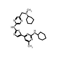 Cc1cc(-c2cnc(Nc3cnc(CN(C)C4CCCCC4)cn3)s2)nc(NC2CCCCC2)n1